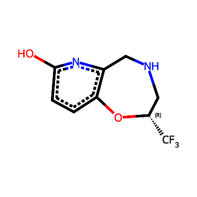 Oc1ccc2c(n1)CNC[C@H](C(F)(F)F)O2